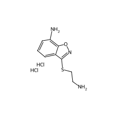 Cl.Cl.NCCSc1noc2c(N)cccc12